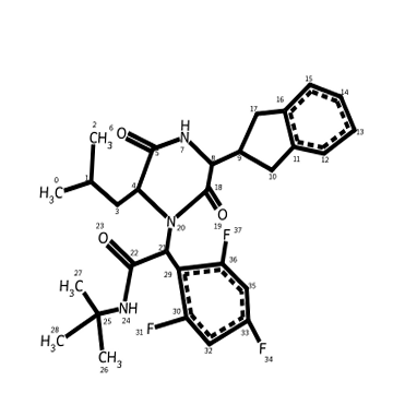 CC(C)CC1C(=O)NC(C2Cc3ccccc3C2)C(=O)N1C(C(=O)NC(C)(C)C)c1c(F)cc(F)cc1F